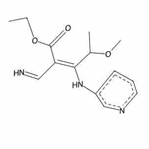 CCOC(=O)/C(C=N)=C(/Nc1cccnc1)C(C)OC